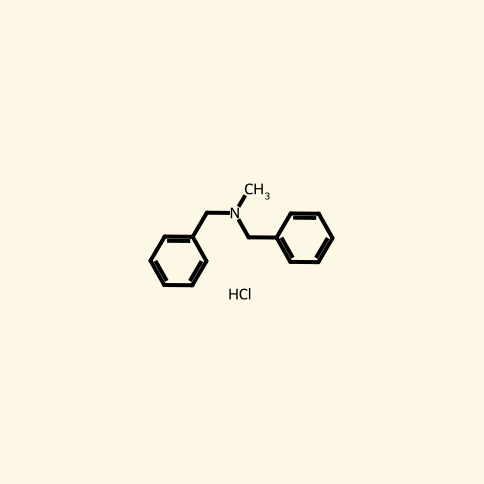 CN(Cc1ccccc1)Cc1ccccc1.Cl